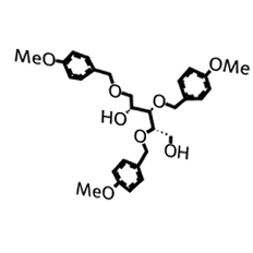 COc1ccc(COC[C@@H](O)[C@H](OCc2ccc(OC)cc2)[C@H](CO)OCc2ccc(OC)cc2)cc1